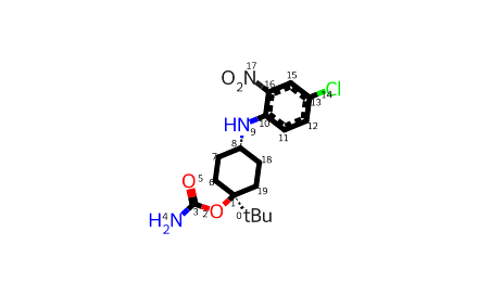 CC(C)(C)[C@]1(OC(N)=O)CC[C@H](Nc2ccc(Cl)cc2[N+](=O)[O-])CC1